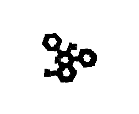 CC(=O)c1c(N2CCCCC2)nc2c(Br)cccc2c1-c1ccccc1